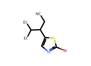 CCC(CC)C(CC#N)c1cnc(Br)s1